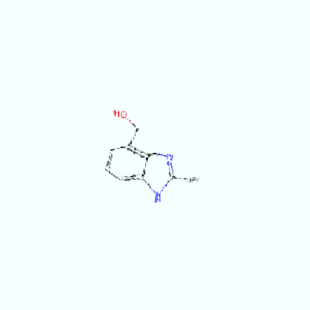 CCCc1nc2c(CO)cccc2[nH]1